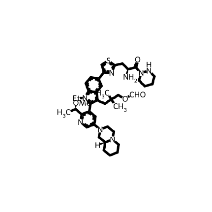 CCn1c(-c2cc(N3CCN4CCCC[C@@H]4C3)cnc2[C@H](C)OC)c(CC(C)(C)COC=O)c2cc(-c3csc(C[C@H](N)C(=O)N4CCCCN4)n3)ccc21